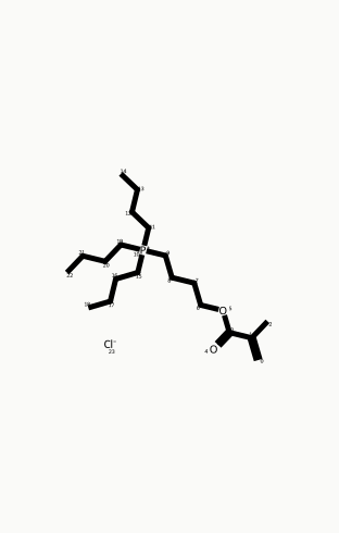 C=C(C)C(=O)OCCCC[P+](CCCC)(CCCC)CCCC.[Cl-]